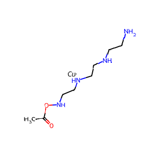 CC(=O)ONCCNCCNCCN.[Cu]